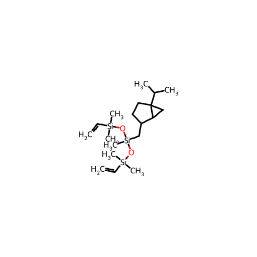 C=C[Si](C)(C)O[Si](C)(CC1CCC2(C(C)C)CC12)O[Si](C)(C)C=C